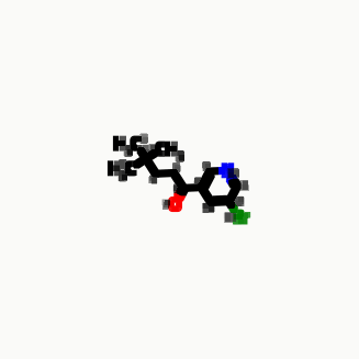 CC(C)(C)CCC(=O)c1cncc(Br)c1